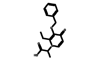 CCc1c(OCc2ccccc2)c(=O)ccn1C(C)C(=O)O